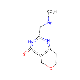 O=C(O)NCc1nc2c(c(=O)[nH]1)COCC2